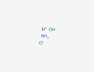 Cl.N.[Cl-].[Li+]